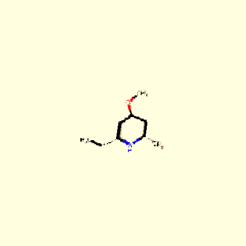 CC[C@@H]1C[C@@H](OC)C[C@H](C)N1